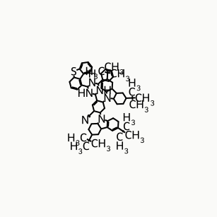 CC(C)(C)C1=CC2=C(CC1)N(C1CC(N3C4C=CC(C(C)(C)C)CC4C4CC(C(C)(C)C)CCC43)C(C3NC(C4=C5c6ccccc6SC5CC=C4)NC(C4CC=CCC4)N3)=CC1C#N)C1CCC(C(C)(C)C)CC21